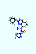 O=C(NC1CCCc2ccc(-c3cc(C(F)(F)F)ccc3F)nc21)c1cnccn1